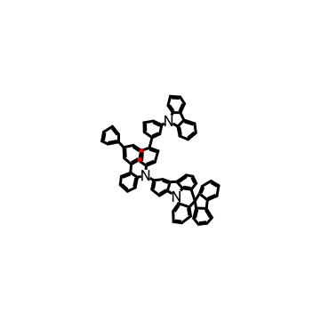 c1ccc(-c2cccc(-c3ccccc3N(c3ccc(-c4cccc(-n5c6ccccc6c6ccccc65)c4)cc3)c3ccc4c(c3)c3cccc5c3n4-c3ccccc3C53c4ccccc4-c4ccccc43)c2)cc1